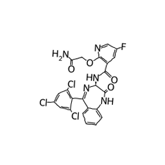 NC(=O)COc1ncc(F)cc1C(=O)N[C@@H]1N=C(c2c(Cl)cc(Cl)cc2Cl)c2ccccc2NC1=O